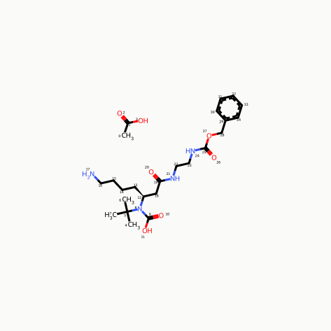 CC(=O)O.CC(C)(C)N(C(=O)O)[C@@H](CCCCN)CC(=O)NCCNC(=O)OCc1ccccc1